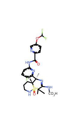 CC1(C)C(NC(=O)O)=N[C@](C)(c2nc(NC(=O)c3ccc(OC(F)F)cn3)ccc2F)[C@H]2CCCN[SH]21=O